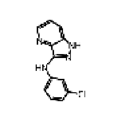 Clc1cccc(Nc2n[nH]c3cccnc23)c1